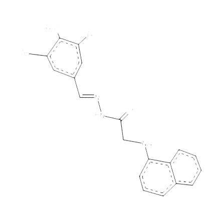 Cc1c(Br)cc(/C=N/NC(=O)CNc2cccc3ccccc23)cc1Br